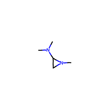 CN(C)C1CN1C